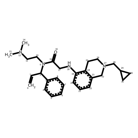 C=CC(c1ccccc1)N(CCN(C)C)C(=O)CNc1cccc2c1CCN(CC1CC1)C2